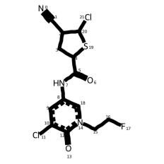 N#CC1CC(C(=O)Nc2cc(Cl)c(=O)n(CCF)c2)SC1Cl